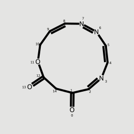 O=C1C=NC=CN=NC=CCOC(=O)C1